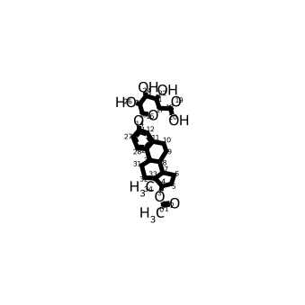 CC(=O)OC1CCC2C3CCc4cc(OC5OC(C(=O)O)C(O)C(O)C5O)ccc4C3CCC12C